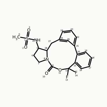 CS(=O)(=O)NC1CCN2C(=O)OC(F)(F)c3ccccc3-c3cccc(c3)CC12